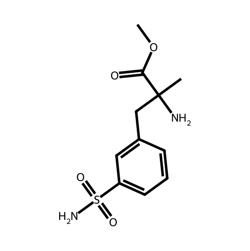 COC(=O)C(C)(N)Cc1cccc(S(N)(=O)=O)c1